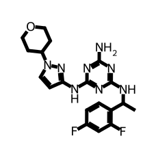 CC(Nc1nc(N)nc(Nc2ccn(C3CCOCC3)n2)n1)c1ccc(F)cc1F